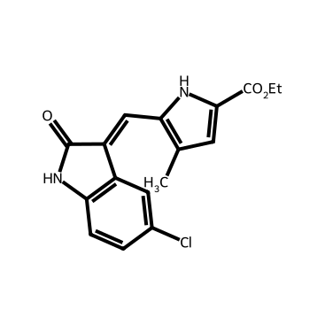 CCOC(=O)c1cc(C)c(C=C2C(=O)Nc3ccc(Cl)cc32)[nH]1